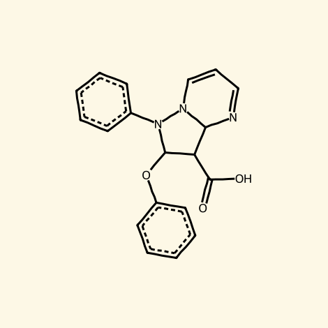 O=C(O)C1C2N=CC=CN2N(c2ccccc2)C1Oc1ccccc1